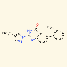 CCOC(=O)c1cnn(-c2nc3ccc(-c4ccccc4C)cc3c(=O)[nH]2)c1